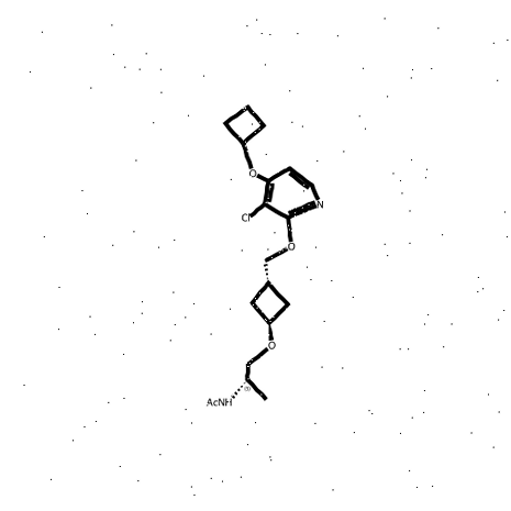 CC(=O)N[C@@H](C)CO[C@H]1C[C@H](COc2nccc(OC3CCC3)c2Cl)C1